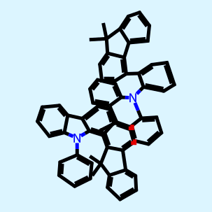 CC1(C)c2ccccc2-c2ccc(-c3ccccc3N(c3ccccc3-c3ccc4c5ccccc5n(-c5ccccc5)c4c3)c3ccccc3-c3cccc4c3-c3ccccc3C4(C)C)cc21